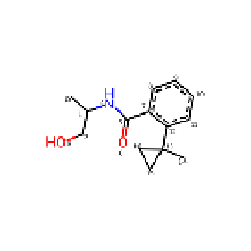 CC(CO)NC(=O)c1ccccc1C1(C)CC1